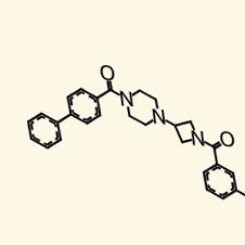 O=C(c1ccc(-c2ccccc2)cc1)N1CCN(C2CN(C(=O)c3cccc(F)c3)C2)CC1